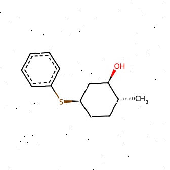 C[C@@H]1CC[C@@H](Sc2ccccc2)C[C@H]1O